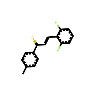 Cc1ccc(C(=S)C=Cc2c(F)cccc2F)cc1